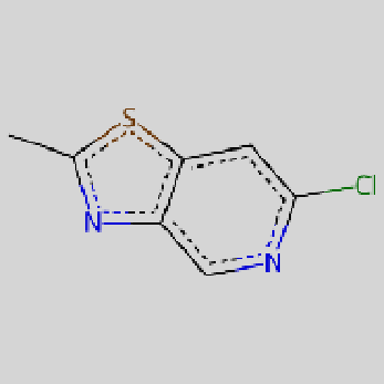 Cc1nc2cnc(Cl)cc2s1